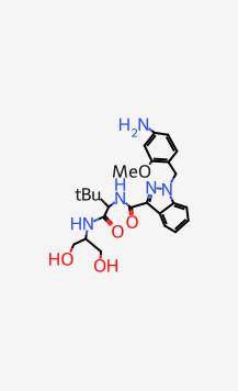 COc1cc(N)ccc1Cn1nc(C(=O)NC(C(=O)NC(CO)CO)C(C)(C)C)c2ccccc21